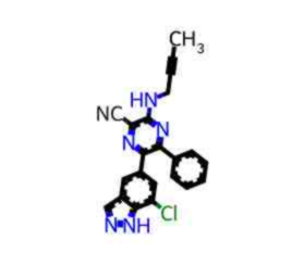 CC#CCNc1nc(-c2ccccc2)c(-c2cc(Cl)c3[nH]ncc3c2)nc1C#N